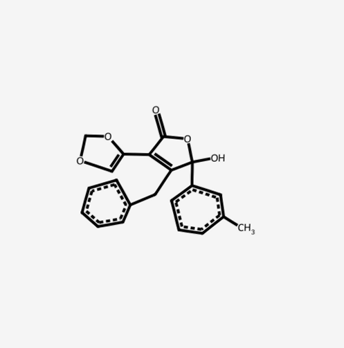 Cc1cccc(C2(O)OC(=O)C(C3=COCO3)=C2Cc2ccccc2)c1